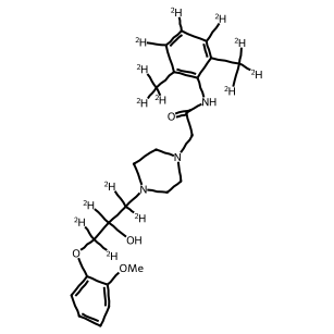 [2H]c1c([2H])c(C([2H])([2H])[2H])c(NC(=O)CN2CCN(C([2H])([2H])C([2H])(O)C([2H])([2H])Oc3ccccc3OC)CC2)c(C([2H])([2H])[2H])c1[2H]